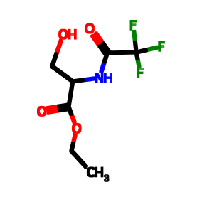 CCOC(=O)C(CO)NC(=O)C(F)(F)F